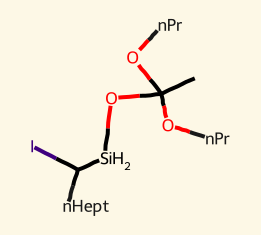 CCCCCCCC(I)[SiH2]OC(C)(OCCC)OCCC